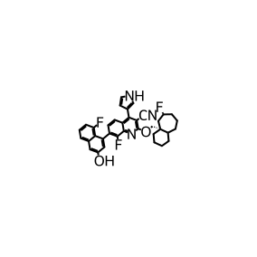 N#Cc1c(OC[C@@]23CCCCC2CCC[C@H](F)C3)nc2c(F)c(-c3cc(O)cc4cccc(F)c34)ccc2c1-c1cc[nH]c1